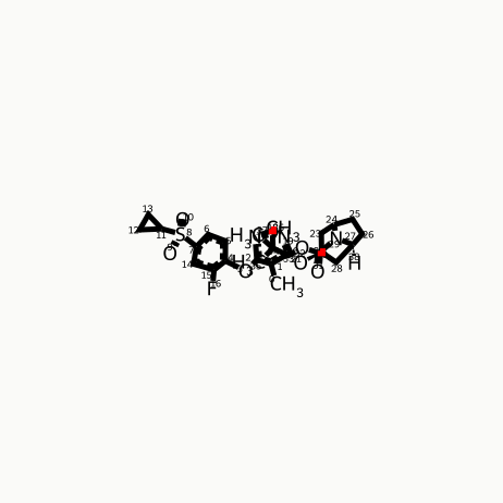 Cc1c(Oc2ccc(S(=O)(=O)C3CC3)cc2F)ncnc1O[C@H]1CC2CC[C@@H](C1)N2C(=O)OCC(C)(C)C